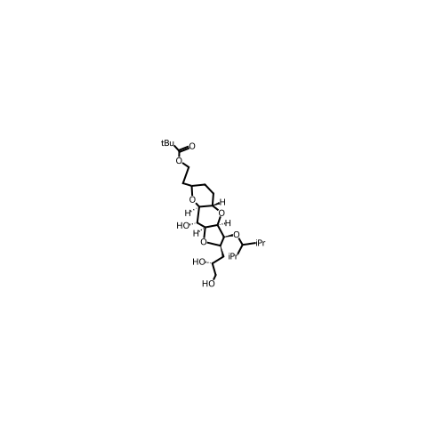 CC(C)C(O[C@@H]1[C@@H]2O[C@H]3CCC(CCOC(=O)C(C)(C)C)O[C@@H]3[C@@H](O)[C@@H]2O[C@@H]1C[C@@H](O)CO)C(C)C